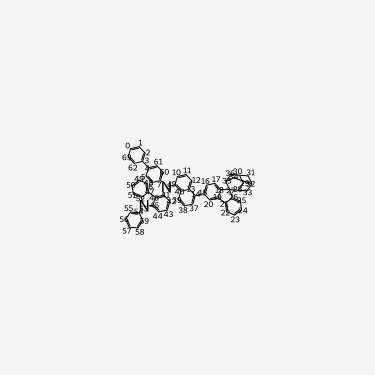 c1ccc(-c2ccc(N(c3cccc4c(-c5ccc6c(c5)-c5ccccc5C65C6CC7CC(C6)CC5C7)cccc34)c3cccc4c3c3ccccc3n4-c3ccccc3)cc2)cc1